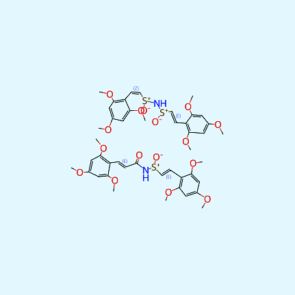 COc1cc(OC)c(/C=C/C(=O)N[S+]([O-])/C=C/c2c(OC)cc(OC)cc2OC)c(OC)c1.COc1cc(OC)c(/C=C\[S+]([O-])N[S+]([O-])/C=C/c2c(OC)cc(OC)cc2OC)c(OC)c1